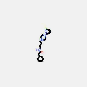 O=C(CC1CCCCC1)NCCCCN1CCN(c2cccc(F)n2)CC1